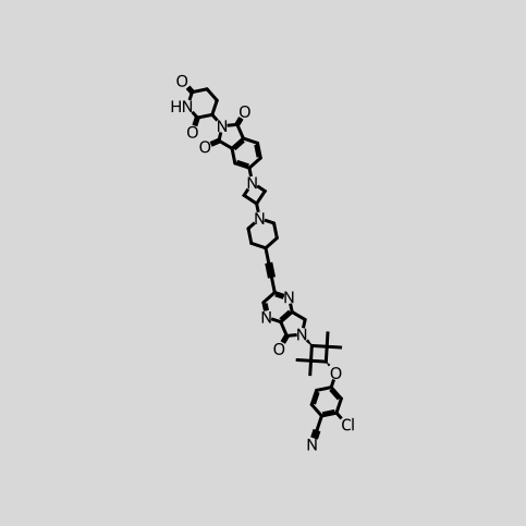 CC1(C)[C@H](Oc2ccc(C#N)c(Cl)c2)C(C)(C)[C@H]1N1Cc2nc(C#CC3CCN(C4CN(c5ccc6c(c5)C(=O)N(C5CCC(=O)NC5=O)C6=O)C4)CC3)cnc2C1=O